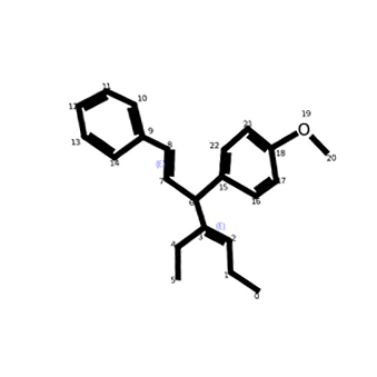 CC/C=C(\CC)C(/C=C/c1ccccc1)c1ccc(OC)cc1